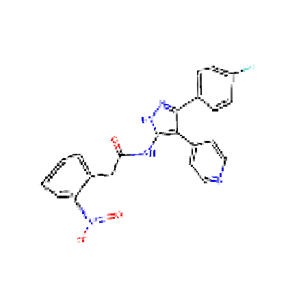 O=C(Cc1ccccc1[N+](=O)[O-])Nc1[nH]nc(-c2ccc(F)cc2)c1-c1ccncc1